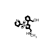 CNCc1cc(-c2ccccc2CO)n(S(=O)(=O)c2cccnc2)c1